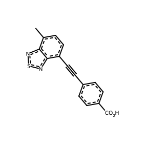 Cc1ccc(C#Cc2ccc(C(=O)O)cc2)c2nsnc12